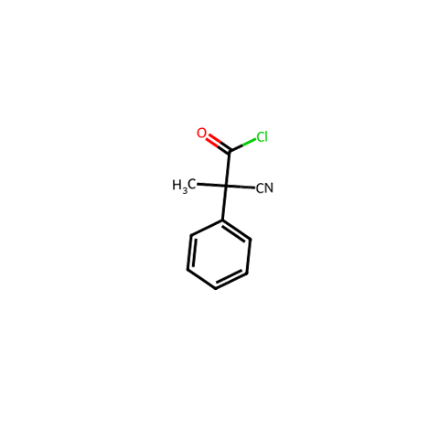 CC(C#N)(C(=O)Cl)c1ccccc1